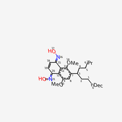 CCCCCCCCCCCCC(CCC(C)C)c1cc(OC)c2c(c1OC)C(=NO)C=CC2=NO